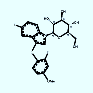 COc1ccc(Sc2cn([C@@H]3O[C@H](CO)[C@@H](O)[C@H](O)[C@H]3O)c3ccc(F)cc23)c(F)c1